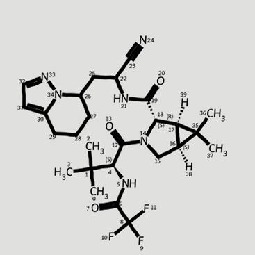 CC(C)(C)[C@H](NC(=O)C(F)(F)F)C(=O)N1C[C@H]2[C@@H]([C@H]1C(=O)NC(C#N)CC1CCCc3ccnn31)C2(C)C